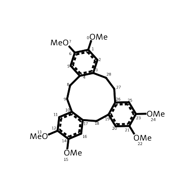 COc1cc2c(cc1OC)CCc1cc(OC)c(OC)cc1Cc1cc(OC)c(OC)cc1CC2